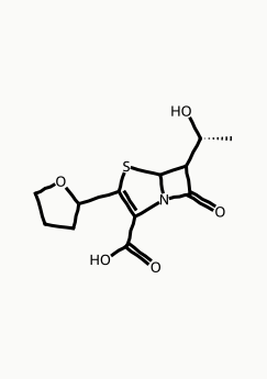 C[C@@H](O)C1C(=O)N2C(C(=O)O)=C(C3CCCO3)SC12